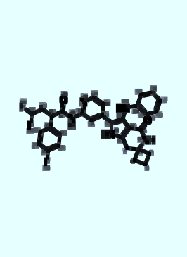 O=C1NC2(CCC2)Cc2[nH]c(-c3ccnc(NC(=O)C(CC(F)F)c4ccc(F)cc4)c3)c(Nc3ccccc3)c21